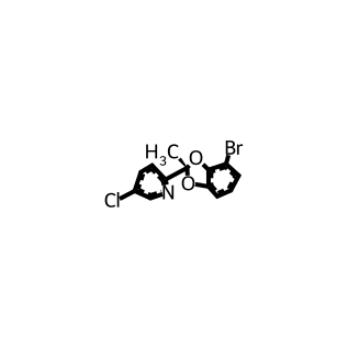 C[C@]1(c2ccc(Cl)cn2)Oc2cccc(Br)c2O1